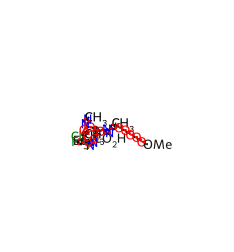 C#C/C1=C(Cl)\C(C)=C(/CC)c2c(-c3ccc(F)cc3)sc3ncnc(c23)O[C@@H](C(=O)O)Cc2cc(ccc2OCc2ccnc(C3=CC[C@@](C)(COCCOCCOCCOCCOCCOC)CC3)n2)OC[C@@H](CN2CCN(C)CC2)O1